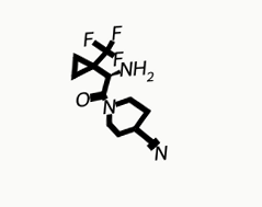 N#CC1CCN(C(=O)[C@H](N)C2(C(F)(F)F)CC2)CC1